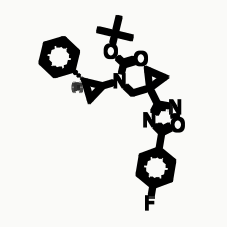 CC(C)(C)OC(=O)N(CC1(c2noc(-c3ccc(F)cc3)n2)CC1)C1C[C@@H]1c1ccccc1